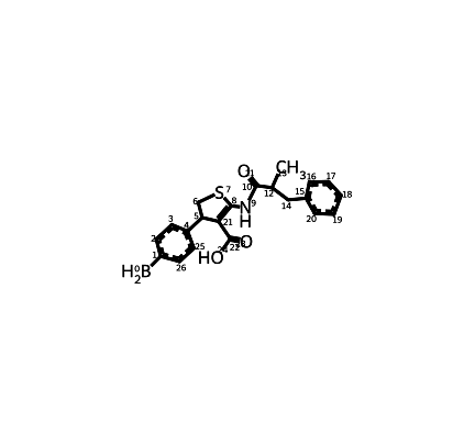 Bc1ccc(C2CSC(NC(=O)C(C)Cc3ccccc3)=C2C(=O)O)cc1